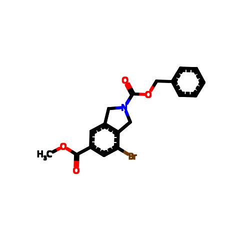 COC(=O)c1cc(Br)c2c(c1)CN(C(=O)OCc1ccccc1)C2